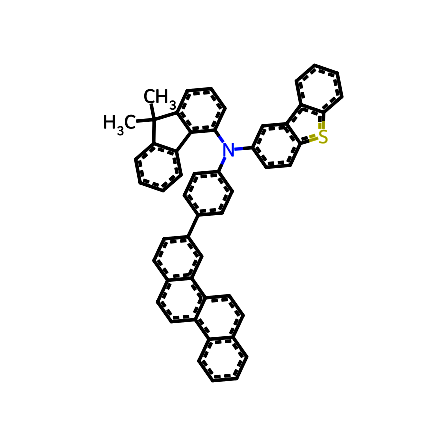 CC1(C)c2ccccc2-c2c(N(c3ccc(-c4ccc5ccc6c7ccccc7ccc6c5c4)cc3)c3ccc4sc5ccccc5c4c3)cccc21